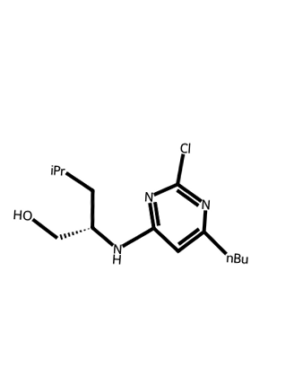 CCCCc1cc(N[C@H](CO)CC(C)C)nc(Cl)n1